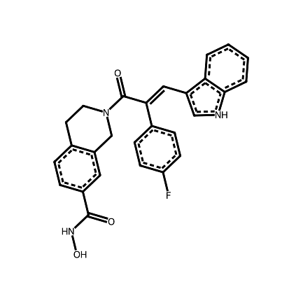 O=C(NO)c1ccc2c(c1)CN(C(=O)C(=Cc1c[nH]c3ccccc13)c1ccc(F)cc1)CC2